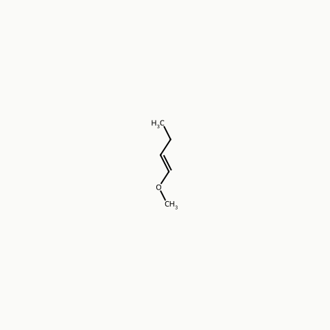 CCC=COC